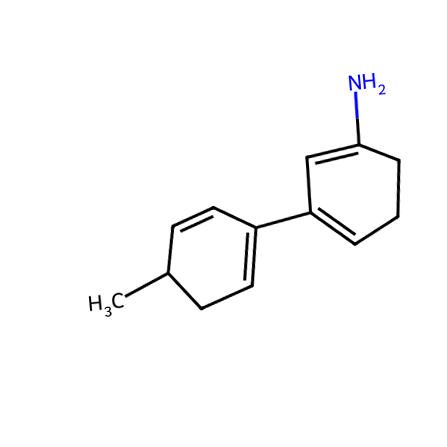 CC1C=CC(C2=CCCC(N)=C2)=CC1